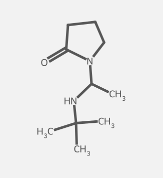 CC(NC(C)(C)C)N1CCCC1=O